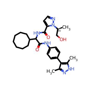 Cc1n[nH]c(C)c1-c1ccc(NC(=O)C(NC(=O)c2ccnn2[C@@H](C)CO)C2CCCCCCC2)cc1